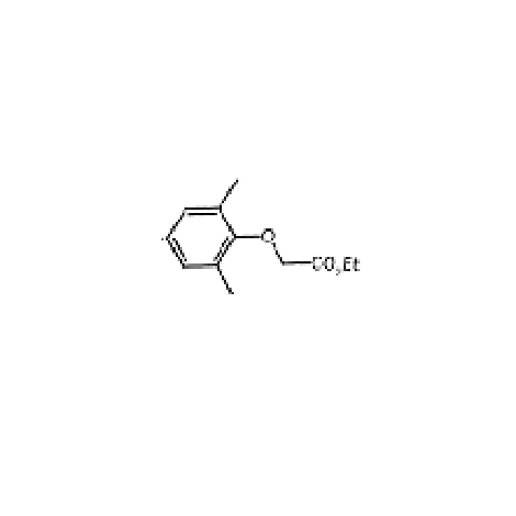 CCOC(=O)COc1c(C)c[c]cc1C